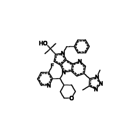 Cc1nnn(C)c1-c1cnc2c3c(cc(C(C)(C)O)n3Cc3ccccc3)n(C(c3ncccc3F)C3CCOCC3)c2c1